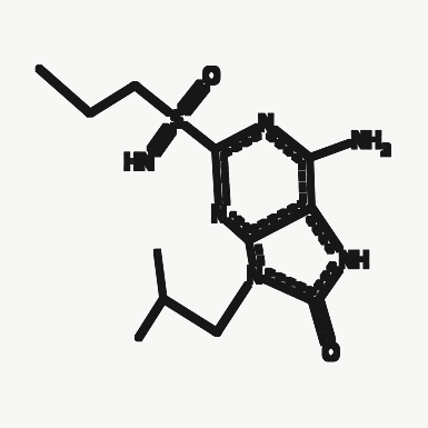 CCCS(=N)(=O)c1nc(N)c2[nH]c(=O)n(CC(C)C)c2n1